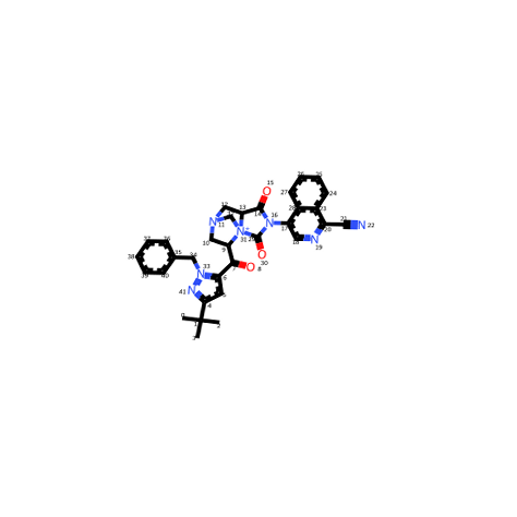 CC(C)(C)c1cc(C(=O)C2CN3CC4C(=O)N(c5cnc(C#N)c6ccccc56)C(=O)[N+]24C3)n(Cc2ccccc2)n1